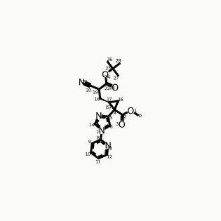 COC(=O)C1(c2cn(-c3ccccn3)cn2)C[C@@H]1CC(C#N)C(=O)OC(C)(C)C